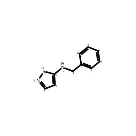 c1ccc(CNc2ccns2)cc1